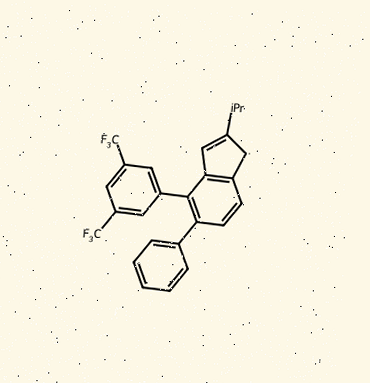 CC(C)C1=Cc2c(ccc(-c3ccccc3)c2-c2cc(C(F)(F)F)cc(C(F)(F)F)c2)[CH]1